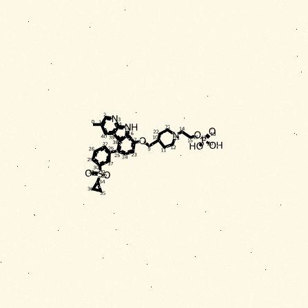 Cc1cnc2[nH]c3c(OCC4CCN(CCOP(=O)(O)O)CC4)ccc(-c4cccc(S(=O)(=O)C5CC5)c4)c3c2c1